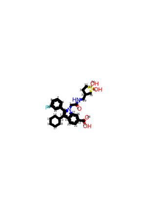 O=C(Cn1c(-c2cccc(F)c2)c(C2CCCCC2)c2ccc(C(=O)O)cc21)NCC1CCS(O)(O)C1